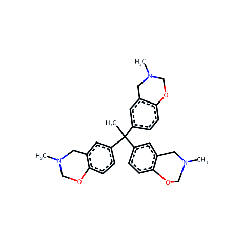 CN1COc2ccc(C(C)(c3ccc4c(c3)CN(C)CO4)c3ccc4c(c3)CN(C)CO4)cc2C1